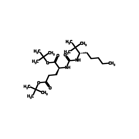 CCCCC[C@H](NC(=O)N[C@@H](CCC(=O)OC(C)(C)C)C(=O)OC(C)(C)C)C(C)(C)C